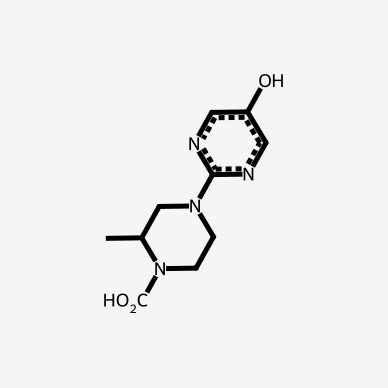 CC1CN(c2ncc(O)cn2)CCN1C(=O)O